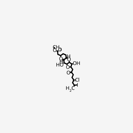 C=C(I)C[C@H](Cl)CCC(=O)CC1OC2C(O[C@H]3CCC(CC(=O)OC)O[C@@H]3C2O)C1O